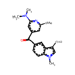 CSc1cc(C(=O)c2ccc3c(c2)c(C=O)cn3C)cc(N(C)C)n1